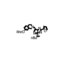 CCCCN(C)c1ncc(CN2CCc3ccc(OC)cc3C2)c2nc(-c3ccco3)nn12